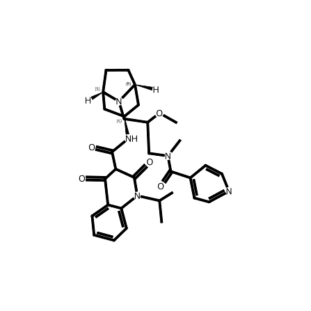 COC(CN(C)C(=O)c1ccncc1)CN1[C@@H]2CC[C@H]1C[C@H](NC(=O)C1C(=O)c3ccccc3N(C(C)C)C1=O)C2